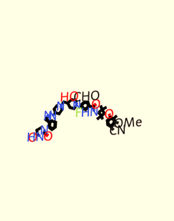 COc1c(C#N)ccc(OC2C(C)(C)C(NC(=O)c3ccc(N4CCC(CN5CCC(n6ncc7c(N8CCC(=O)NC8=O)cccc76)CC5)CC4)c(F)c3)C2(C)C)c1C.O=CO